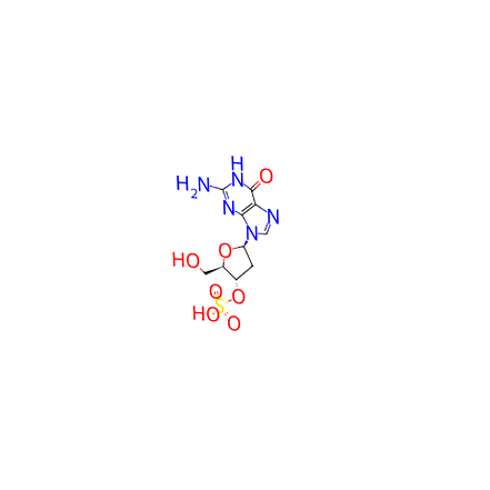 Nc1nc2c(ncn2[C@H]2C[C@H](OS(=O)(=O)O)[C@@H](CO)O2)c(=O)[nH]1